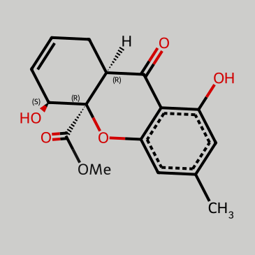 COC(=O)[C@@]12Oc3cc(C)cc(O)c3C(=O)[C@@H]1CC=C[C@@H]2O